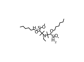 CCCCCCOC([SiH2]OC)C(C)(C)N(CC)C(C)(C)C(OCCCCCC)[SiH2]OC